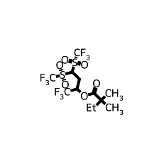 CCC(C)(C)C(=O)OC(CC(S(=O)(=O)C(F)(F)F)S(=O)(=O)C(F)(F)F)C(F)(F)F